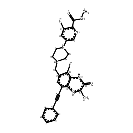 CNC(=O)c1ncc(N2CCN(Cc3cc(C#Cc4ccccc4)c4nc(C)c(=O)[nH]c4c3F)CC2)cc1F